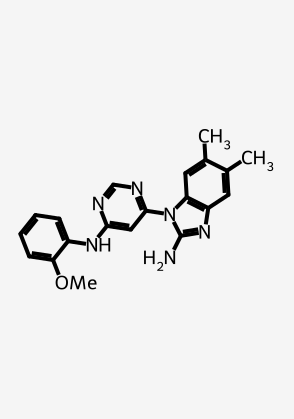 COc1ccccc1Nc1cc(-n2c(N)nc3cc(C)c(C)cc32)ncn1